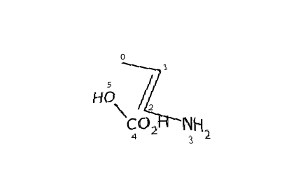 CC=CN.O=C(O)O